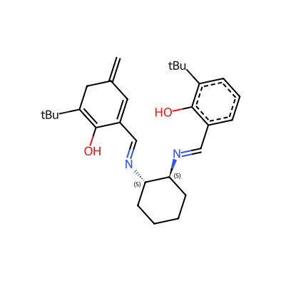 C=C1C=C(C=N[C@H]2CCCC[C@@H]2N=Cc2cccc(C(C)(C)C)c2O)C(O)=C(C(C)(C)C)C1